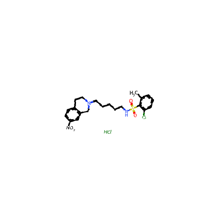 Cc1cccc(Cl)c1S(=O)(=O)NCCCCCN1CCc2ccc([N+](=O)[O-])cc2C1.Cl